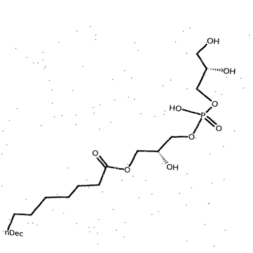 CCCCCCCCCCCCCCCCC(=O)OC[C@@H](O)COP(=O)(O)OC[C@@H](O)CO